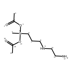 CC(=O)O[Si](C)(CCCNCCN)OC(C)=O